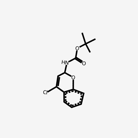 CC(C)(C)OC(=O)NC1C=C(Cl)c2ccccc2O1